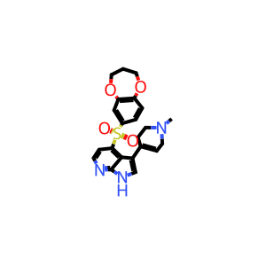 CN1CC=C(c2c[nH]c3nccc(S(=O)(=O)c4ccc5c(c4)OCCCO5)c23)CC1